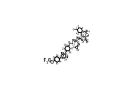 Cc1ccc(C(C)C)c(N2C(=O)C(F)S/C2=N\C(=N\CCc2ccc(-c3ncn(-c4ccc(OC(F)(F)F)cc4)n3)cc2)SC2CC2)c1